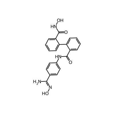 NC(=NO)c1ccc(NC(=O)c2ccccc2-c2ccccc2C(=O)NO)cc1